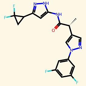 C[C@@H](C(=O)Nc1cc(C2CC2(F)F)n[nH]1)c1cnn(-c2cc(F)cc(F)c2)c1